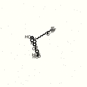 C[C@]12CC[C@@H]3c4ccc(OC(=O)N5CCC(OP(=O)(O)O)CC5)cc4C[C@@H](CCCCCCCCC[S+]([O-])CCCC(F)(F)C(F)(F)F)[C@H]3[C@@H]1CC[C@@H]2O